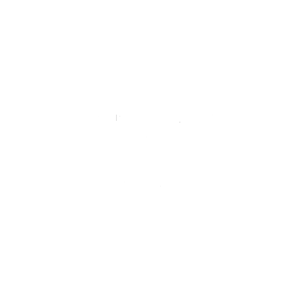 CC1(CO)CCC1C(C)(CCP(c1ccccc1)c1ccccc1)CP(c1ccccc1)c1ccccc1